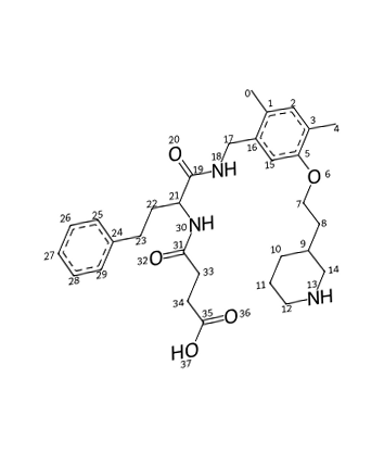 Cc1cc(C)c(OCCC2CCCNC2)cc1CNC(=O)C(CCc1ccccc1)NC(=O)CCC(=O)O